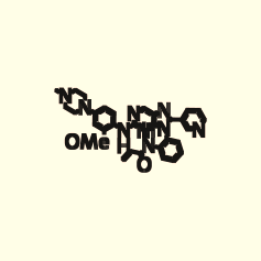 C=CC(=O)Nc1ccccc1-n1c(-c2cccnc2)nc2cnc(Nc3ccc(N4CCN(C)CC4)cc3OC)nc21